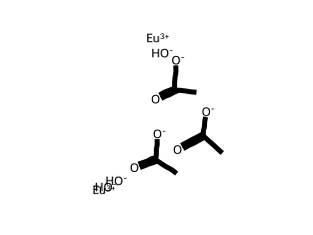 CC(=O)[O-].CC(=O)[O-].CC(=O)[O-].[Eu+3].[Eu+3].[OH-].[OH-].[OH-]